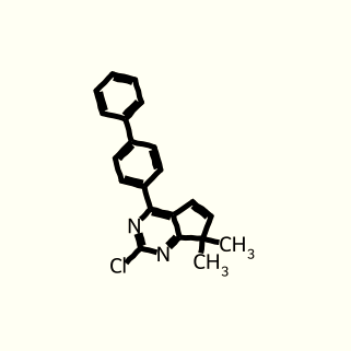 CC1(C)C=Cc2c(-c3ccc(-c4ccccc4)cc3)nc(Cl)nc21